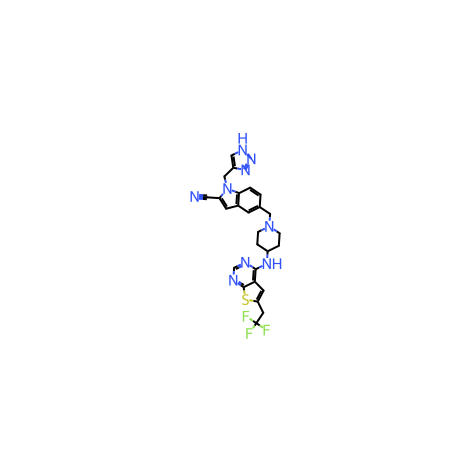 N#Cc1cc2cc(CN3CCC(Nc4ncnc5sc(CC(F)(F)F)cc45)CC3)ccc2n1Cc1c[nH]nn1